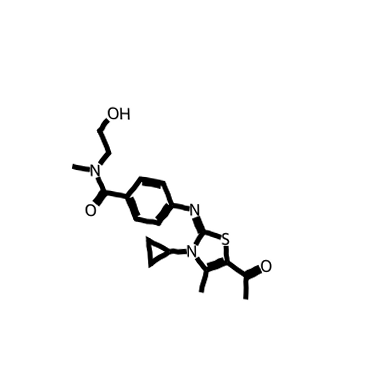 CC(=O)c1s/c(=N/c2ccc(C(=O)N(C)CCO)cc2)n(C2CC2)c1C